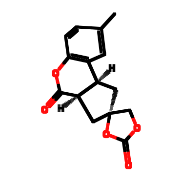 Cc1ccc2c(c1)[C@H]1C[C@@]3(COC(=O)O3)C[C@H]1C(=O)O2